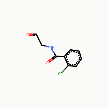 O=[C]CNC(=O)c1ccccc1Cl